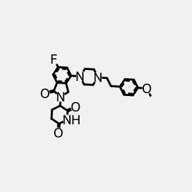 COc1ccc(CCN2CCN(c3cc(F)cc4c3CN(C3CCC(=O)NC3=O)C4=O)CC2)cc1